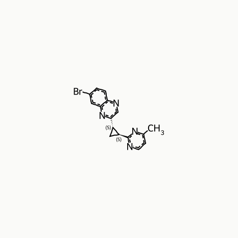 Cc1ccnc([C@H]2C[C@@H]2c2cnc3ccc(Br)cc3n2)n1